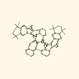 CC1(C)CCC(C)(C)c2cc3c(cc21)sc1c2cccc4c2n(c31)B1c2c(cc3ccccc3c2-4)-n2c3c1cccc3c1sc3cc4c(cc3c12)C(C)(C)CCC4(C)C